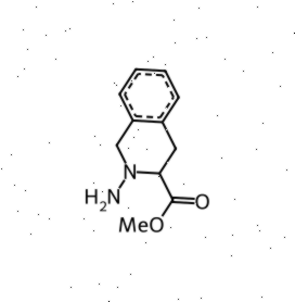 COC(=O)C1Cc2ccccc2CN1N